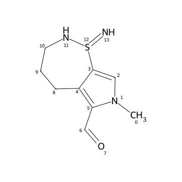 Cn1cc2c(c1C=O)CCCNS2=N